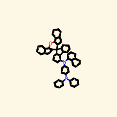 c1ccc(N(c2ccccc2)c2ccc(N(c3cccc4c3-c3ccccc3C43c4ccc5ccccc5c4Oc4c3ccc3ccccc43)c3cccc4ccccc34)cc2)cc1